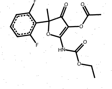 CCOC(=O)NC1=C(OC(C)=O)C(=O)C(C)(c2c(F)cccc2F)O1